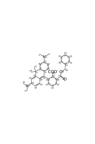 CN(C)c1ccc2c(c1)C(C)(C)C1=CC(=[N+](C)C)C=CC1=C2c1cccc(C(=O)OCc2ccccc2)c1C(=O)[O-]